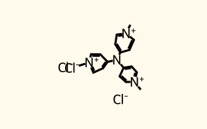 C[n+]1ccc(N(c2cc[n+](C)cc2)c2cc[n+](C)cc2)cc1.[Cl-].[Cl-].[Cl-]